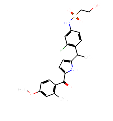 COc1ccc(C(=O)c2ccc(C(C)c3ccc(NS(=O)(=O)CCO)cc3F)[nH]2)c(C)c1